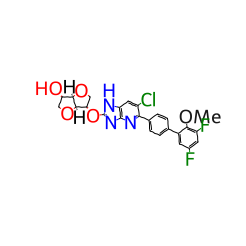 COc1c(F)cc(F)cc1-c1ccc(-c2nc3nc(O[C@@H]4CO[C@H]5[C@@H]4OC[C@H]5O)[nH]c3cc2Cl)cc1